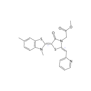 COC(=O)Cn1c(=O)/c(=C2\Sc3cc(C)ccc3N2C)s/c1=C\c1ccccn1